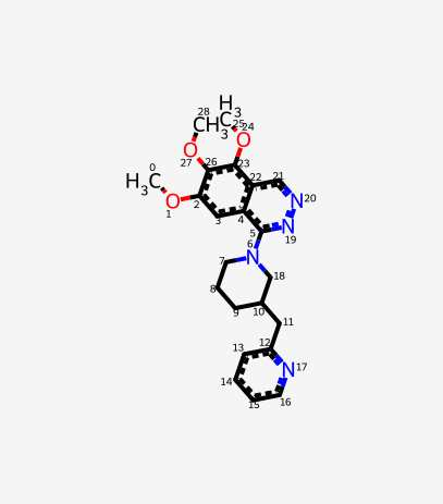 COc1cc2c(N3CCCC(Cc4ccccn4)C3)nncc2c(OC)c1OC